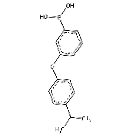 CC(C)c1ccc(Oc2cccc(B(O)O)c2)cc1